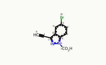 C#Cc1nn(C(=O)O)c2ccc(Br)cc12